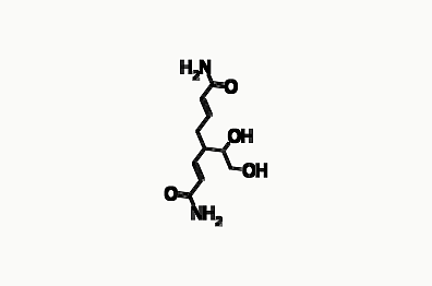 NC(=O)C=CCC(C=CC(N)=O)C(O)CO